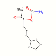 CNC(=O)C(CCCC1CCCC1)OC(N)=O